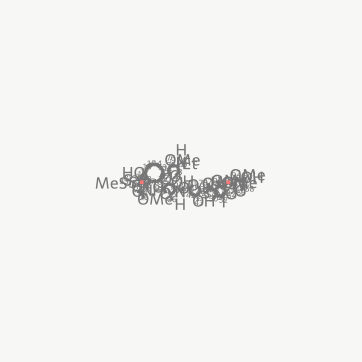 CCN[C@H]1CO[C@@H](O[C@H]2[C@H](O[C@H]3C#C/C=C\C#C[C@]4(O)CC(=O)C(NC(=O)OC)=C3/C4=C/CSSSC)O[C@H](C)[C@@H](NO[C@H]3C[C@H](O)[C@H](SC(=O)c4c(C)c(I)c(O[C@@H]5O[C@@H](C)[C@H](O)[C@@H](OC)[C@H]5O)c(OC)c4OC)[C@@H](C)O3)[C@@H]2O)C[C@@H]1OC